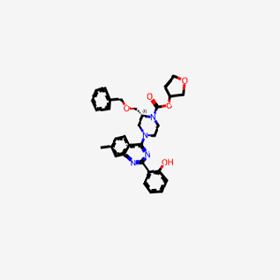 Cc1ccc2c(N3CCN(C(=O)OC4CCOC4)[C@@H](COCc4ccccc4)C3)nc(-c3ccccc3O)nc2c1